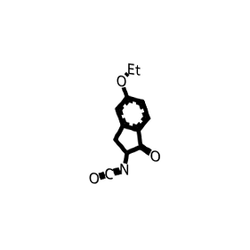 CCOc1ccc2c(c1)CC(N=C=O)C2=O